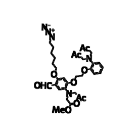 COC(=O)CN(CC(C)=O)c1cc(C=O)c(OCCCCCCN=[N+]=[N-])cc1OCCOc1ccccc1N(CC(C)=O)CC(C)=O